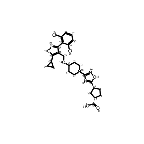 O=C(O)[C@H]1CC[C@H](c2nc(N3CCC(OCc4c(-c5c(Cl)cccc5Cl)noc4C4CC4)CC3)no2)C1